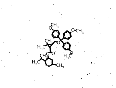 COc1ccc(C(OCC2C(C(=O)OC3CC(C)CCC3C(C)C)C2(C)C)(c2ccc(OC)cc2)c2ccc(OC)cc2)cc1